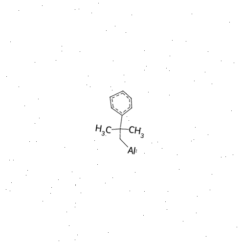 CC(C)([CH2][Al])c1ccccc1